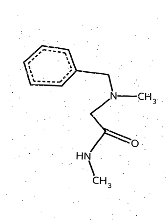 CNC(=O)CN(C)Cc1ccccc1